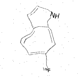 [18F]c1ccc2cc[nH]c2c1